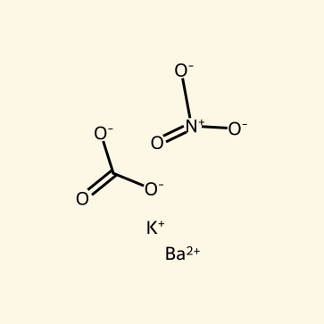 O=C([O-])[O-].O=[N+]([O-])[O-].[Ba+2].[K+]